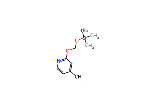 Cc1ccnc(OCO[Si](C)(C)C(C)(C)C)c1